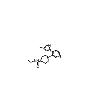 CCNC(=O)N1CCN(c2cnccc2-n2cc(C)cn2)CC1